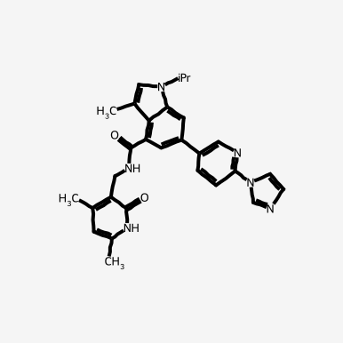 Cc1cc(C)c(CNC(=O)c2cc(-c3ccc(-n4ccnc4)nc3)cc3c2c(C)cn3C(C)C)c(=O)[nH]1